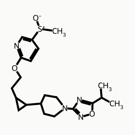 CC(C)c1nc(N2CCC(C3CC3CCOc3ccc([S+](C)[O-])cn3)CC2)no1